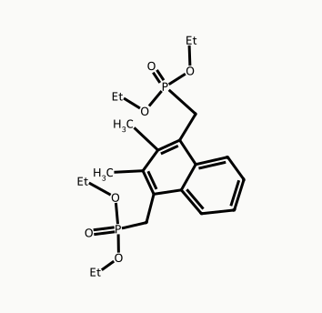 CCOP(=O)(Cc1c(C)c(C)c(CP(=O)(OCC)OCC)c2ccccc12)OCC